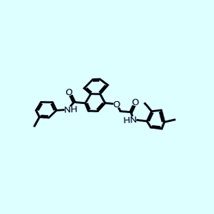 Cc1cccc(NC(=O)c2ccc(OCC(=O)Nc3ccc(C)cc3C)c3ccccc23)c1